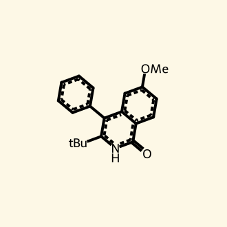 COc1ccc2c(=O)[nH]c(C(C)(C)C)c(-c3ccccc3)c2c1